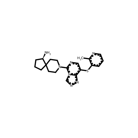 Cc1ncccc1Sc1cnc(N2CCC3(CCC[C@H]3N)CC2)n2cnnc12